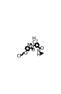 Cc1ccc(C(=O)NC2CC2)cc1-n1cnc2ccc(OCCCl)cc2c1=O